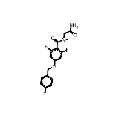 NC(=O)CNC(=O)c1c(F)cc(OCc2ccc(F)cc2)cc1F